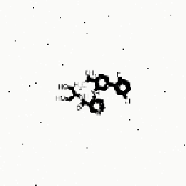 CC(C)c1ccc(-c2cc(Cl)ccc2F)cc1Nc1ccncc1C(=O)NC(CO)CO